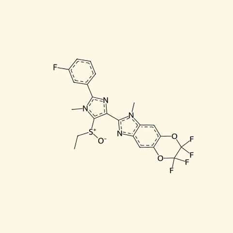 CC[S+]([O-])c1c(-c2nc3cc4c(cc3n2C)OC(F)(F)C(F)(F)O4)nc(-c2cccc(F)c2)n1C